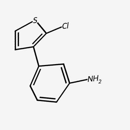 Nc1cccc(-c2ccsc2Cl)c1